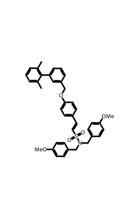 COc1ccc(CN(Cc2ccc(OC)cc2)S(=O)(=O)C=Cc2ccc(OCc3cccc(-c4c(C)cccc4C)c3)cc2)cc1